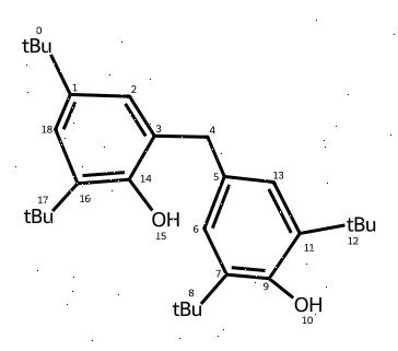 CC(C)(C)c1cc(Cc2cc(C(C)(C)C)c(O)c(C(C)(C)C)c2)c(O)c(C(C)(C)C)c1